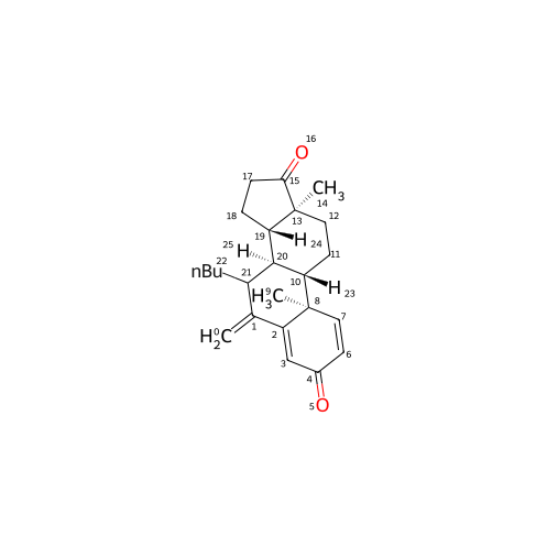 C=C1C2=CC(=O)C=C[C@]2(C)[C@H]2CC[C@]3(C)C(=O)CC[C@H]3[C@@H]2C1CCCC